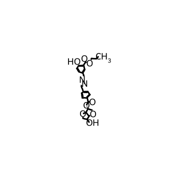 CCCOC(=O)c1cc(/C=N/N=C/c2ccc(C(=O)O[C@@H]3COC4C(O)COC43)cc2)ccc1O